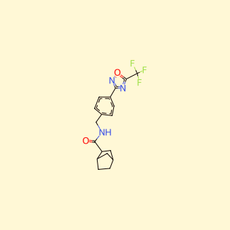 O=C(NCc1ccc(-c2noc(C(F)(F)F)n2)cc1)C1CC2CCC1C2